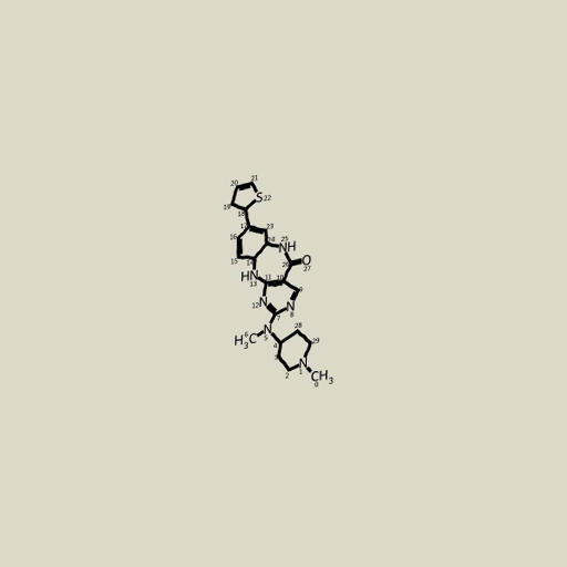 CN1CCC(N(C)c2ncc3c(n2)NC2C=CC(C4CC=CS4)=CC2NC3=O)CC1